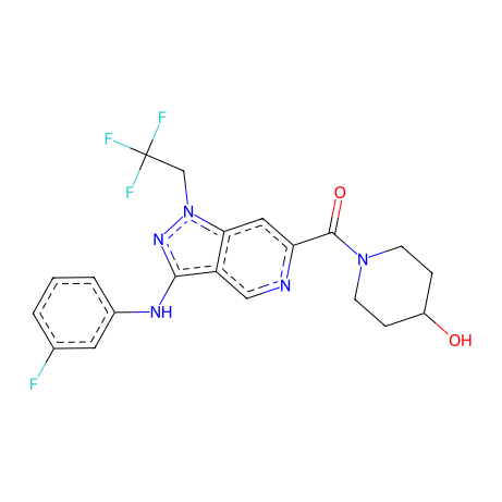 O=C(c1cc2c(cn1)c(Nc1cccc(F)c1)nn2CC(F)(F)F)N1CCC(O)CC1